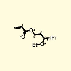 C=CC(=O)OCCC(CCC)OCC